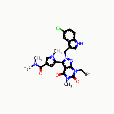 CC(C)Cn1c(=O)n(C)c(=O)c2c(-c3cc(C(=O)N(C)C)cn3C)n(Cc3c[nH]c4ccc(Cl)cc34)nc21